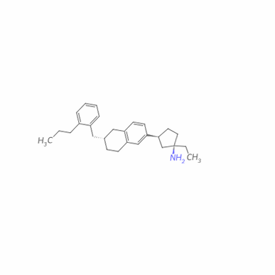 CCCc1ccccc1C[C@H]1CCc2cc([C@H]3CC[C@](N)(CC)C3)ccc2C1